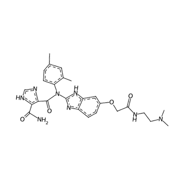 Cc1ccc(N(C(=O)c2nc[nH]c2C(N)=O)c2nc3ccc(OCC(=O)NCCN(C)C)cc3[nH]2)c(C)c1